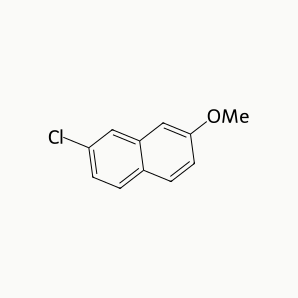 COc1ccc2ccc(Cl)cc2c1